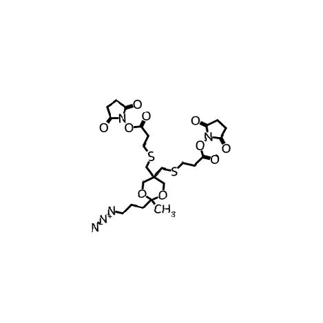 CC1(CCCN=[N+]=[N-])OCC(CSCCC(=O)ON2C(=O)CCC2=O)(CSCCC(=O)ON2C(=O)CCC2=O)CO1